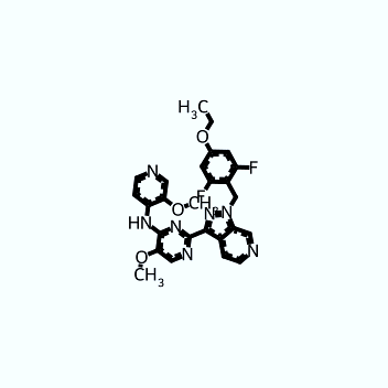 CCOc1cc(F)c(Cn2nc(-c3ncc(OC)c(Nc4ccncc4OC)n3)c3ccncc32)c(F)c1